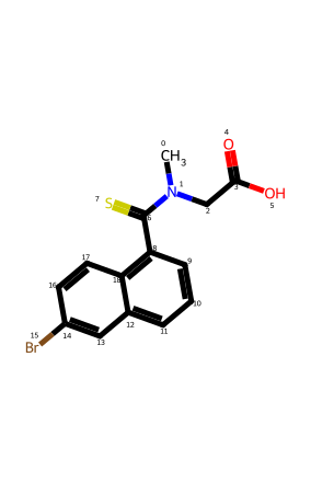 CN(CC(=O)O)C(=S)c1cccc2cc(Br)ccc12